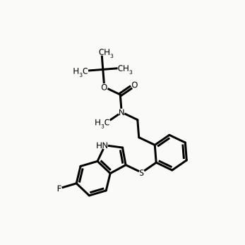 CN(CCc1ccccc1Sc1c[nH]c2cc(F)ccc12)C(=O)OC(C)(C)C